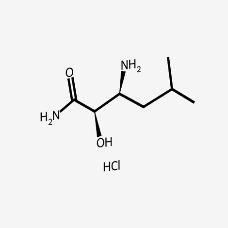 CC(C)C[C@H](N)[C@@H](O)C(N)=O.Cl